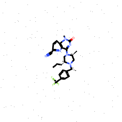 CCC[C@@H]1CN(c2nc(=O)n(C)c3ccc(C#N)nc23)[C@@H](C)CN1[C@H](C)c1ccc(C(F)(F)F)cc1